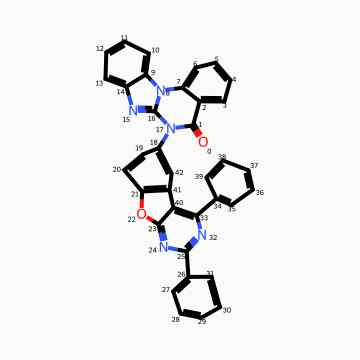 O=c1c2ccccc2n2c3ccccc3nc2n1-c1ccc2oc3nc(-c4ccccc4)nc(-c4ccccc4)c3c2c1